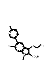 CCOC(=O)c1c(OCC(F)(F)F)c2cc(-c3ccc(F)nc3)c(CC)nc2n1C